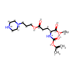 C=C(C)OC(=O)N[C@@H](CCC(=O)OCCCN1CCNCC1)C(=O)OC(C)(C)C